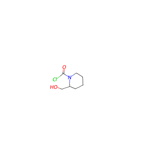 O=C(Cl)N1CCCCC1CO